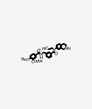 COc1ccc(C(=O)NCc2cccc(C(=O)N(CCC#N)c3ccc4c(c3)CNCC4)c2)cc1OC